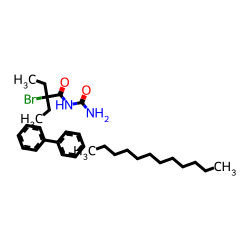 CCC(Br)(CC)C(=O)NC(N)=O.CCCCCCCCCCCC.c1ccc(-c2ccccc2)cc1